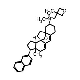 CC1(C[N+](C)([O-])[C@@H]2CCC3=CC4=CC[C@]5(C)[C@@H](c6ccc7ccccc7c6)CC[C@H]5[C@@]45CC[C@]3(C2)O5)COC1